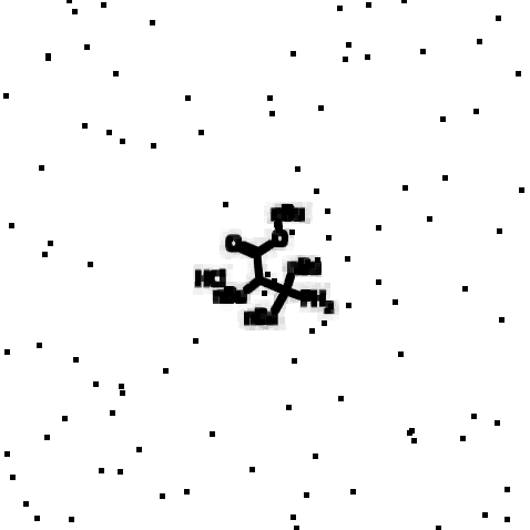 CCCCOC(=O)C(CCCC)C(P)(CCCC)CCCC.Cl